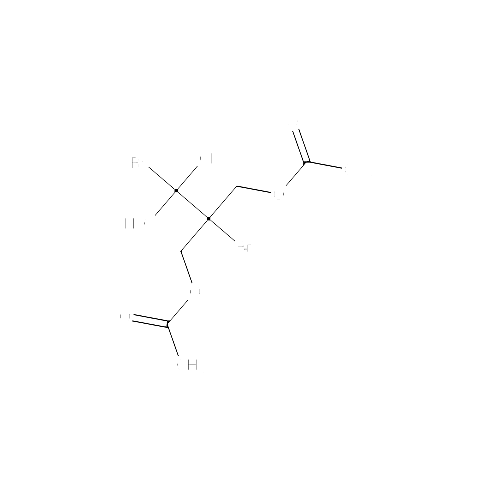 CC(=O)OCC(Br)(COC(C)=O)C(C)(C)Br